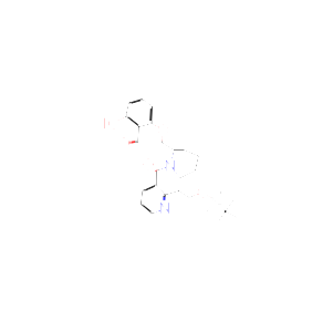 CC(C)(C)[Si](C)(C)OCCc1ncccc1C(=O)N1CCCCC1COc1cccc(O)c1C=O